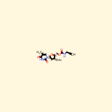 C#CCNC(=O)OC[C@H]1O[C@@H](n2cc(C)c(=O)[nH]c2=O)C[C@H]1OC(C)=O